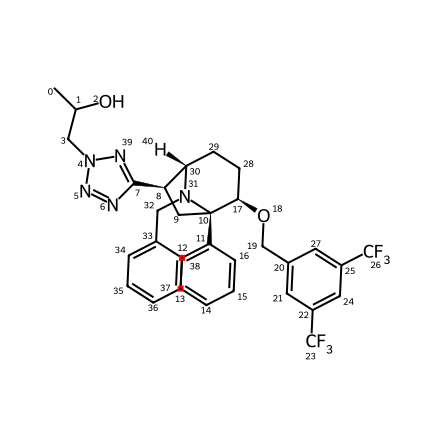 CC(O)Cn1nnc([C@@H]2C[C@@]3(c4ccccc4)[C@H](OCc4cc(C(F)(F)F)cc(C(F)(F)F)c4)CC[C@@H]2N3Cc2ccccc2)n1